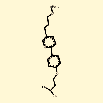 CCCCCOCCCc1ccc(-c2ccc(OCCC(C#N)CC)cc2)nc1